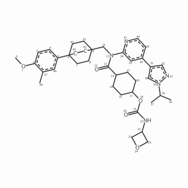 COc1ccc(C23CCC(CN(C(=O)C4CCC(OC(=O)NC5COC5)CC4)c4cc(-c5cnn(C(C)C)c5)ccn4)(CC2)CC3)cc1C